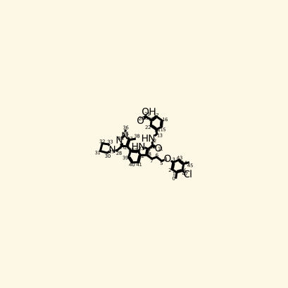 Cc1cc(OCCCc2c(C(=O)NCc3cccc(C(=O)O)c3)[nH]c3c(-c4c(CN5CCCC5)nn(C)c4C)cccc23)cc(C)c1Cl